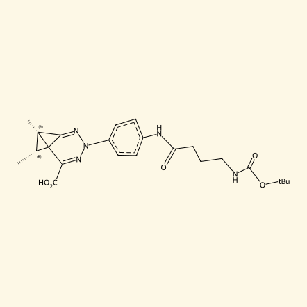 C[C@H]1C23C(C(=O)O)=NN(c4ccc(NC(=O)CCCNC(=O)OC(C)(C)C)cc4)N=C2[C@]13C